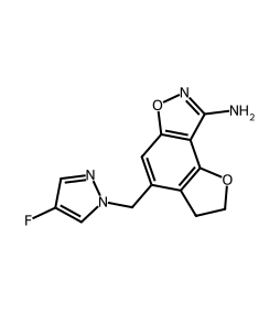 Nc1noc2cc(Cn3cc(F)cn3)c3c(c12)OCC3